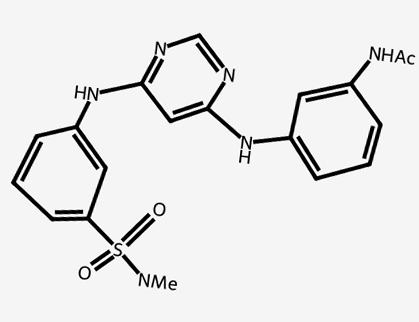 CNS(=O)(=O)c1cccc(Nc2cc(Nc3cccc(NC(C)=O)c3)ncn2)c1